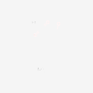 CCS(=O)(=O)C(C[O])c1ccc([N+](=O)[O-])cc1